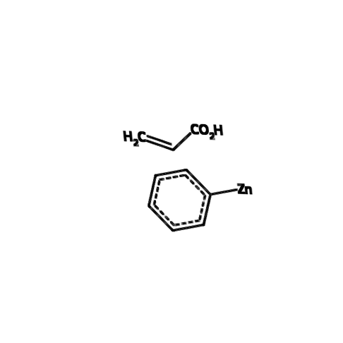 C=CC(=O)O.[Zn][c]1ccccc1